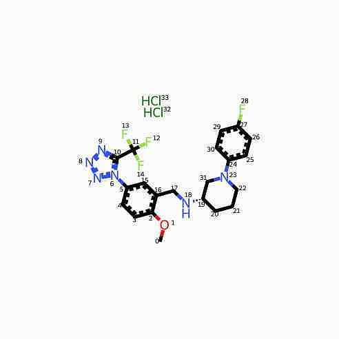 COc1ccc(-n2nnnc2C(F)(F)F)cc1CN[C@H]1CCCN(c2ccc(F)cc2)C1.Cl.Cl